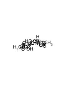 CCS(=O)(=O)c1cccc(/N=N/c2c(NC)ccc3c(O)c(/N=N/c4cc(OC)c(S(=O)(=O)CC)cc4O)ccc23)c1